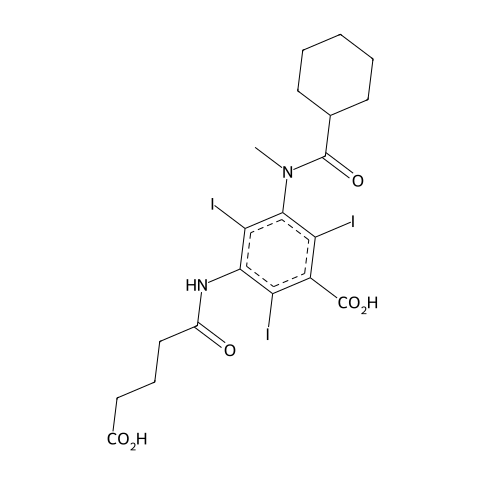 CN(C(=O)C1CCCCC1)c1c(I)c(NC(=O)CCCC(=O)O)c(I)c(C(=O)O)c1I